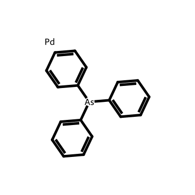 [Pd].c1ccc([As](c2ccccc2)c2ccccc2)cc1